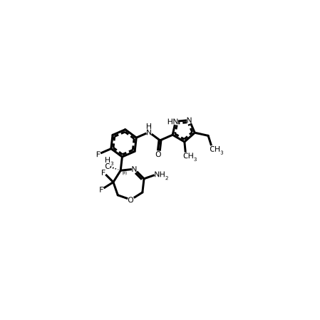 CCc1n[nH]c(C(=O)Nc2ccc(F)c([C@@]3(C)N=C(N)COCC3(F)F)c2)c1C